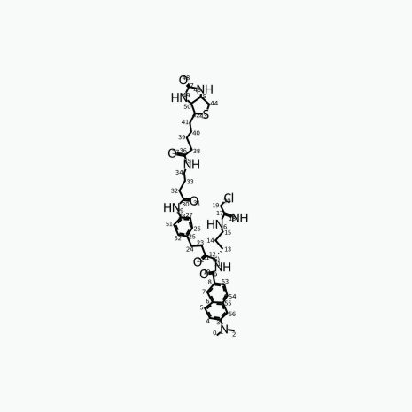 CN(C)c1ccc2cc(C(=O)N[C@@H](CCCNC(=N)CCl)C(=O)CCc3ccc(NC(=O)CCCNC(=O)CCCCC4SCC5NC(=O)NC54)cc3)ccc2c1